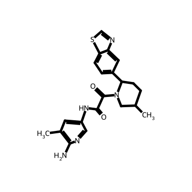 Cc1cc(NC(=O)C(=O)N2CC(C)CCC2c2ccc3scnc3c2)cnc1N